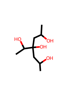 CC(O)CC(O)(CC(C)O)C(C)O